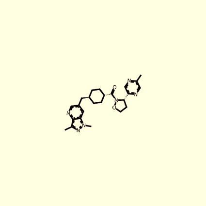 Cc1cnc([C@@H]2CCON2C(=O)[C@H]2CC[C@H](Cc3cnc4c(C)nn(C)c4c3)CC2)cn1